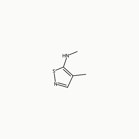 CNc1sncc1C